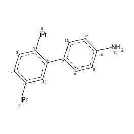 CC(C)c1ccc(C(C)C)c(-c2ccc(N)cc2)c1